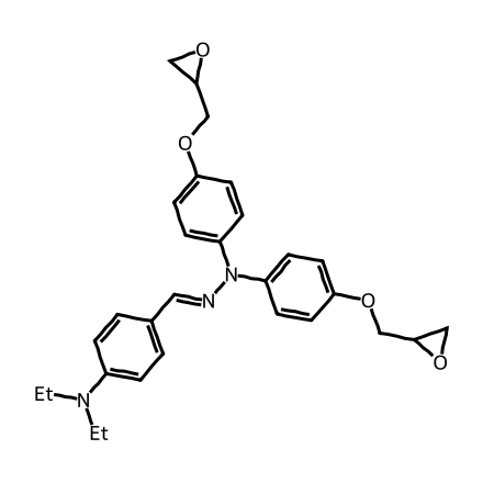 CCN(CC)c1ccc(C=NN(c2ccc(OCC3CO3)cc2)c2ccc(OCC3CO3)cc2)cc1